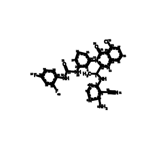 CC(Nc1ncnc(N)c1C#N)c1nc2cccc(Cl)c2c(=O)n1-c1cccc(NC(=O)Nc2ccc(F)cc2F)c1